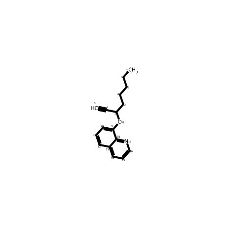 C#CC(CCCCC)Oc1cccc2cccnc12